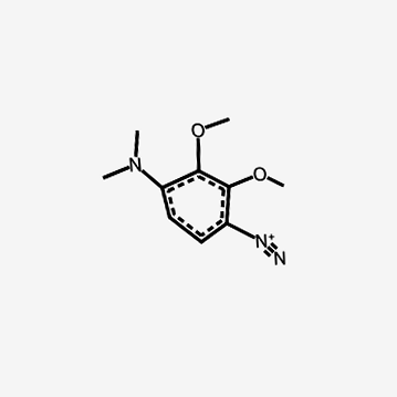 COc1c([N+]#N)ccc(N(C)C)c1OC